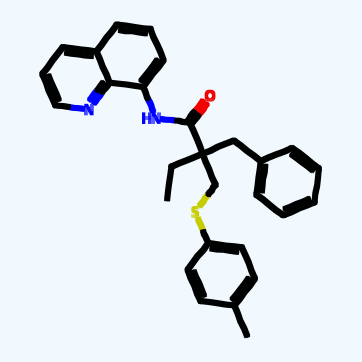 CCC(CSc1ccc(C)cc1)(Cc1ccccc1)C(=O)Nc1cccc2cccnc12